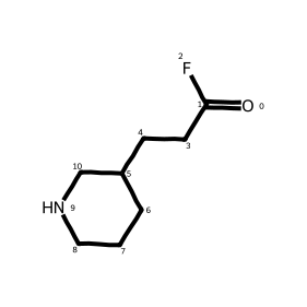 O=C(F)CCC1CCCNC1